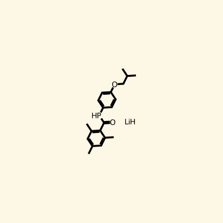 Cc1cc(C)c(C(=O)Pc2ccc(OCC(C)C)cc2)c(C)c1.[LiH]